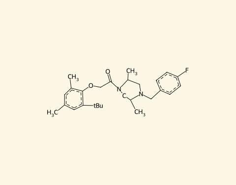 Cc1cc(C)c(OCC(=O)N2CC(C)N(Cc3ccc(F)cc3)CC2C)c(C(C)(C)C)c1